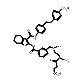 CCCN(CCN(C)C(=O)CCC(=O)O)Cc1cccc(C(=O)Nc2sc3c(c2C(=O)Nc2ccc(CCc4ccc(C(=O)O)cc4)cc2)CCCC3)c1